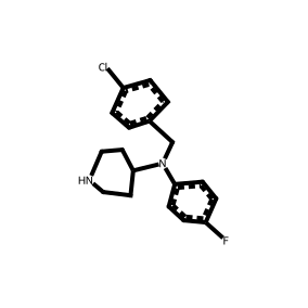 Fc1ccc(N(Cc2ccc(Cl)cc2)C2CCNCC2)cc1